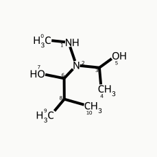 CNN(C(C)O)C(O)C(C)C